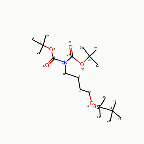 CC(C)(C)OC(=O)N(CCCCO[Si](C)(C)C(C)(C)C)C(=O)OC(C)(C)C